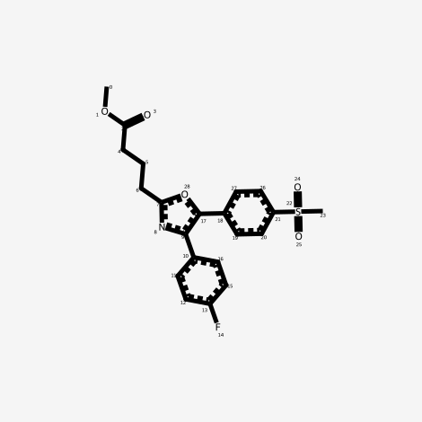 COC(=O)CCCc1nc(-c2ccc(F)cc2)c(-c2ccc(S(C)(=O)=O)cc2)o1